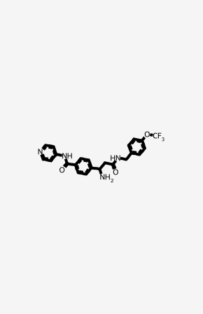 NC(CC(=O)NCc1ccc(OC(F)(F)F)cc1)c1ccc(C(=O)Nc2ccncc2)cc1